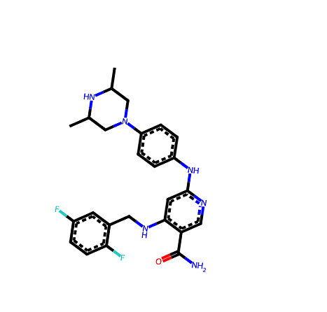 CC1CN(c2ccc(Nc3cc(NCc4cc(F)ccc4F)c(C(N)=O)cn3)cc2)CC(C)N1